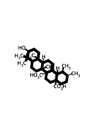 C[C@H]1[C@H](C)CC[C@]2(C(=O)O)CC[C@]3(C(=O)O)C(=CC[C@@H]4[C@@]5(C)CC[C@H](O)C(C)(C)C5CC[C@]43C)[C@H]12